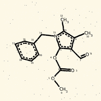 COC(=O)Oc1c(C=O)c(C)c(C)n1Cc1ccccc1